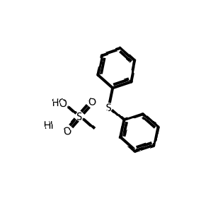 CS(=O)(=O)O.I.c1ccc(Sc2ccccc2)cc1